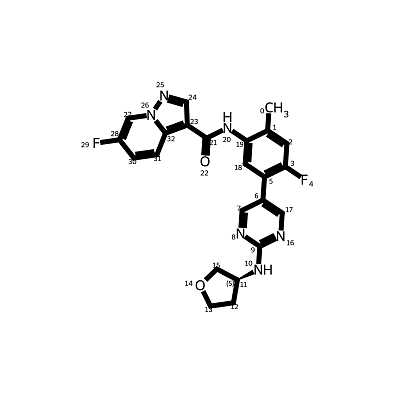 Cc1cc(F)c(-c2cnc(N[C@H]3CCOC3)nc2)cc1NC(=O)c1cnn2cc(F)ccc12